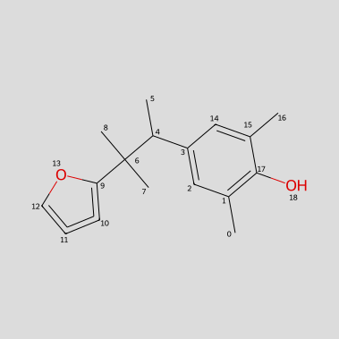 Cc1cc(C(C)C(C)(C)C2=C=C=CO2)cc(C)c1O